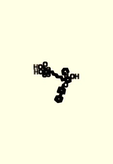 O=C(CCC=CCCC1C(OCc2ccc(-c3ccccc3)cc2)CC(O)C1N1CCCCC1)OC(C(=O)O)C(=O)O